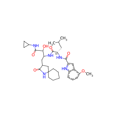 COc1cccc2[nH]c(C(=O)N[C@@H](CC(C)C)C(=O)NC(CC3CC4(CCCCC4)NC3=O)C(O)C(=O)NC3CC3)cc12